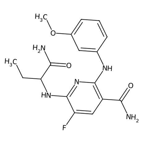 CCC(Nc1nc(Nc2cccc(OC)c2)c(C(N)=O)cc1F)C(N)=O